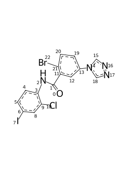 O=C(Nc1ccc(I)cc1Cl)c1cc(-n2cnnc2)ccc1Br